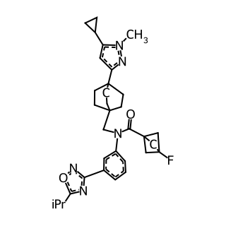 CC(C)c1nc(-c2cccc(N(CC34CCC(c5cc(C6CC6)n(C)n5)(CC3)CC4)C(=O)C34CC(F)(C3)C4)c2)no1